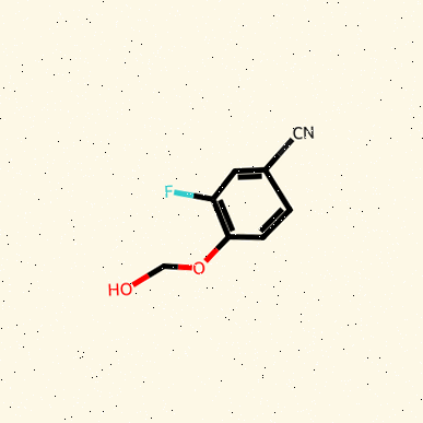 N#Cc1ccc(OCO)c(F)c1